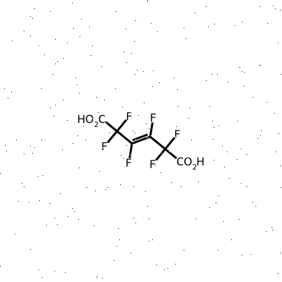 O=C(O)C(F)(F)C(F)=C(F)C(F)(F)C(=O)O